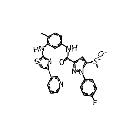 Cc1ccc(NC(=O)c2cc([S+](C)[O-])n(-c3ccc(F)cc3)n2)cc1Nc1nc(-c2cccnc2)cs1